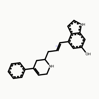 Oc1cc(/C=C/CC2CC(c3ccccc3)=CCN2)c2cc[nH]c2c1